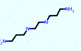 NCCC[N]CC[N]CCCN